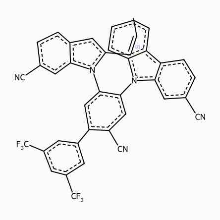 C/C=C\c1cc2ccc(C#N)cc2n1-c1cc(-c2cc(C(F)(F)F)cc(C(F)(F)F)c2)c(C#N)cc1-n1c2ccccc2c2ccc(C#N)cc21